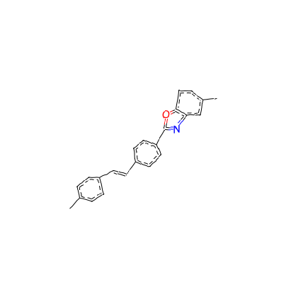 Cc1ccc(C=Cc2ccc(-c3nc4cc(C)ccc4o3)cc2)cc1